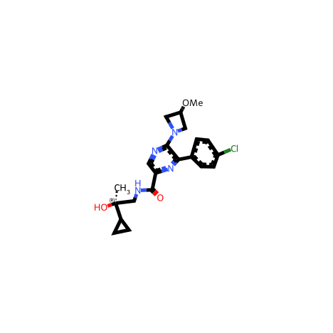 COC1CN(c2ncc(C(=O)NC[C@](C)(O)C3CC3)nc2-c2ccc(Cl)cc2)C1